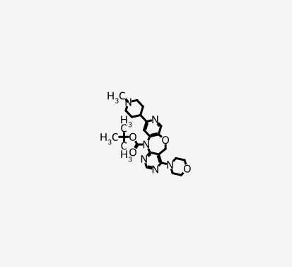 CN1CCC(c2cc3c(cn2)OCc2c(N4CCOCC4)ncnc2N3C(=O)OC(C)(C)C)CC1